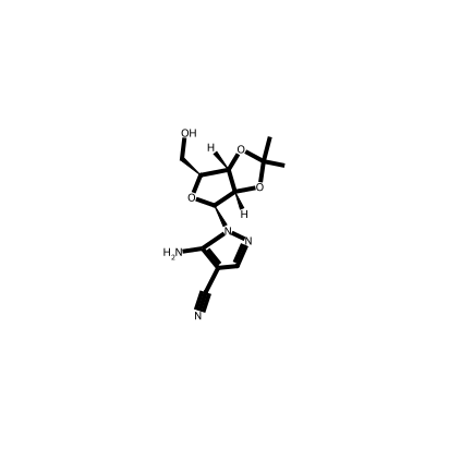 CC1(C)O[C@@H]2[C@H](O1)[C@@H](n1ncc(C#N)c1N)O[C@H]2CO